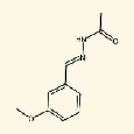 [CH2]C(=O)NN=Cc1cccc(OC)c1